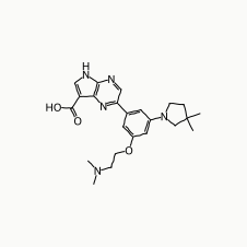 CN(C)CCOc1cc(-c2cnc3[nH]cc(C(=O)O)c3n2)cc(N2CCC(C)(C)C2)c1